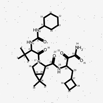 CC(C)(C)C(NC(=O)NC1CCCCC1)C(=O)N1CC2C(C1C(=O)NC(CC1CCC1)C(=O)C(N)=O)C2(C)C